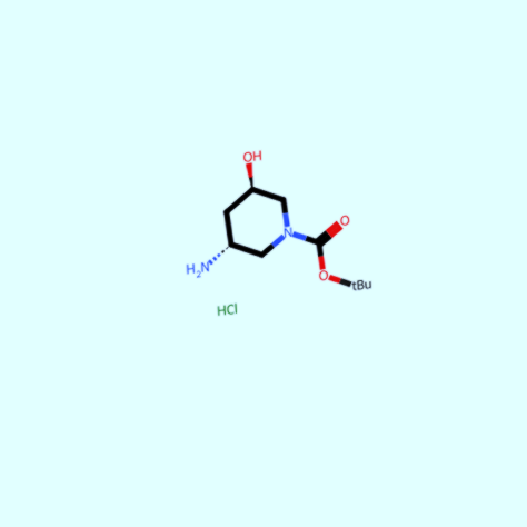 CC(C)(C)OC(=O)N1C[C@H](N)C[C@@H](O)C1.Cl